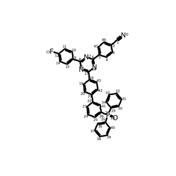 N#Cc1ccc(-c2nc(-c3ccc(F)cc3)nc(-c3ccc(-c4cccc(P(=O)(c5ccccc5)c5ccccc5)c4)cc3)n2)cc1